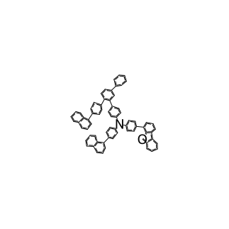 c1ccc(-c2ccc(-c3ccc(-c4cccc5ccccc45)cc3)c(-c3ccc(N(c4ccc(-c5cccc6ccccc56)cc4)c4ccc(-c5cccc6c5oc5ccccc56)cc4)cc3)c2)cc1